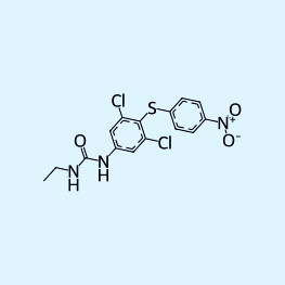 CCNC(=O)Nc1cc(Cl)c(Sc2ccc([N+](=O)[O-])cc2)c(Cl)c1